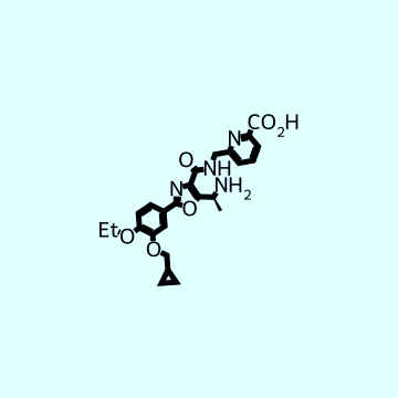 CCOc1ccc(-c2nc(C(=O)NCc3cccc(C(=O)O)n3)c([C@H](C)N)o2)cc1OCC1CC1